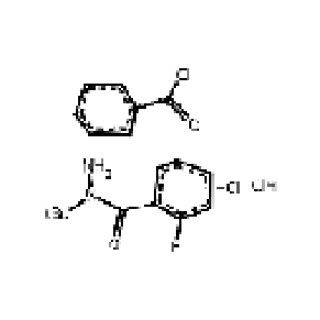 CC(C)(C)N(N)C(=O)c1ccccc1F.Cl.Cl.O=C(Cl)c1ccccc1